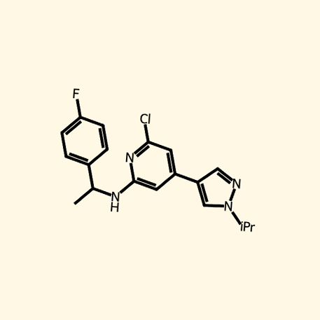 CC(Nc1cc(-c2cnn(C(C)C)c2)cc(Cl)n1)c1ccc(F)cc1